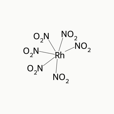 O=[N+]([O-])[Rh]([N+](=O)[O-])([N+](=O)[O-])([N+](=O)[O-])([N+](=O)[O-])[N+](=O)[O-]